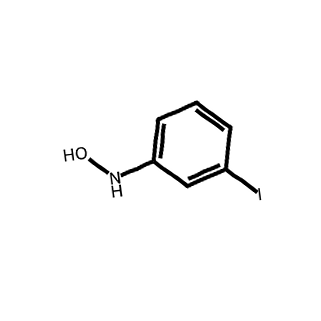 ONc1cccc(I)c1